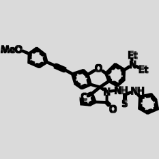 CCN(CC)c1ccc2c(c1)Oc1cc(C#Cc3ccc(OC)cc3)ccc1C21c2ccccc2C(=O)N1NC(=S)Nc1ccccc1